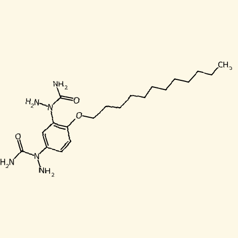 CCCCCCCCCCCCOc1ccc(N(N)C(N)=O)cc1N(N)C(N)=O